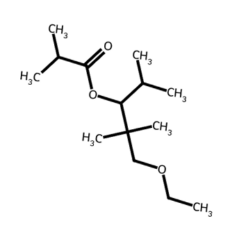 CCOCC(C)(C)C(OC(=O)C(C)C)C(C)C